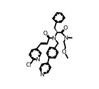 COCCN(C)C(=O)[C@H](Cc1ccccc1)N(Cc1ccc(-c2ccncc2)cc1)C(=O)/C=C/c1ccc(Cl)nc1